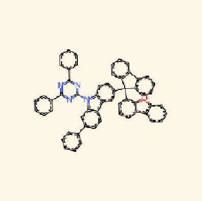 c1ccc(-c2ccc3c4cc(C5(c6cccc7c6oc6ccccc67)c6ccccc6-c6ccccc65)ccc4n(-c4nc(-c5ccccc5)nc(-c5ccccc5)n4)c3c2)cc1